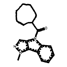 Cn1ncc2c1c1ccccc1n2C(=O)C1CCCCCC1